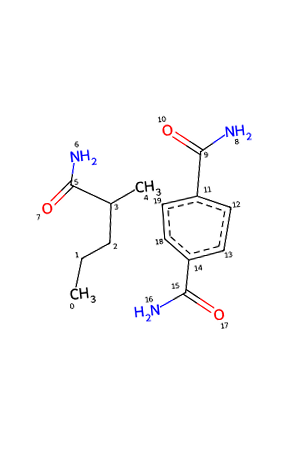 CCCC(C)C(N)=O.NC(=O)c1ccc(C(N)=O)cc1